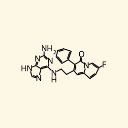 Nc1nc(NCCc2cc3ccc(F)cn3c(=O)c2-c2ccccc2)c2nc[nH]c2n1